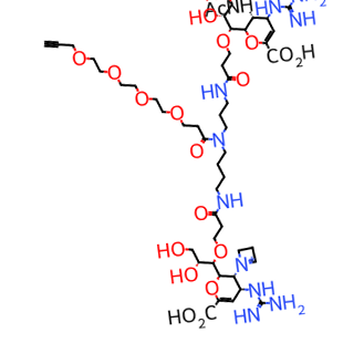 C#CCOCCOCCOCCOCCC(=O)N(CCCCNC(=O)CCO[C@@H]([C@@H]1OC(C(=O)O)=C[C@H](NC(=N)N)[C@H]1[N+]1=CCC1)[C@H](O)CO)CCCNC(=O)CCO[C@@H]([C@@H]1OC(C(=O)O)=C[C@H](NC(=N)N)[C@H]1NC(C)=O)[C@H](O)CO